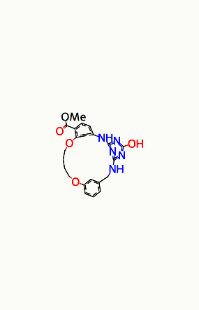 COC(=O)c1ccc2cc1OCCCCOc1cccc(c1)CNc1nc(O)nc(n1)N2